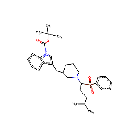 CC(C)CCC(N1CCCC(Cc2cn(C(=O)OC(C)(C)C)c3ccccc23)C1)S(=O)(=O)c1ccccc1